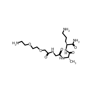 C[C@H](NC(=O)CNC(=O)COCCOCCN)C(=O)N[C@@H](CCCN)C(N)=O